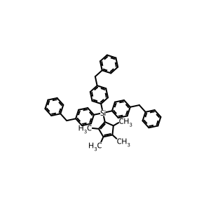 CC1=C(C)C(C)C([Si](c2ccc(Cc3ccccc3)cc2)(c2ccc(Cc3ccccc3)cc2)c2ccc(Cc3ccccc3)cc2)=C1C